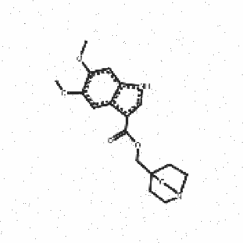 COc1cc2[nH]cc(C(=O)OCC34CCN(CC3)CC4)c2cc1OC